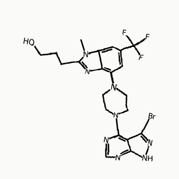 Cn1c(CCCO)nc2c(N3CCN(c4ncnc5[nH]nc(Br)c45)CC3)cc(C(F)(F)F)cc21